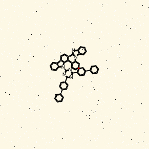 c1ccc(-c2ccc(-c3nc(-c4ccc(-c5ccccc5)cc4)nc(-n4c5ccccc5c5ccc6c(c7ccccc7n7c8ccccc8nc67)c54)n3)cc2)cc1